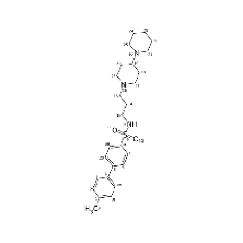 Cc1ccc(-c2ccc(S(=O)(=O)NCCCN3CCC(N4CCCCC4)CC3)cc2)cc1